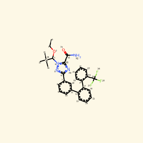 CCOC(n1nc(-c2cccc(-c3ccccc3-c3ccccc3C(F)(F)F)c2)nc1C(N)=O)[Si](C)(C)C